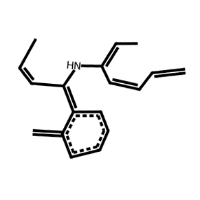 C=C/C=C\C(=C/C)NC(/C=C\C)=c1\ccccc1=C